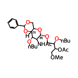 CCCCOC(CO[C@@H]1OC2COC(c3ccccc3)O[C@H]2C(OCCCC)C1NC(C)=O)C(COC)OC(C)=O